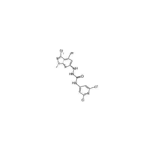 CC(C)c1cc(NNC(=O)Nc2cc(Cl)nc(Cl)c2)nc2c1c(C(F)(F)F)nn2C